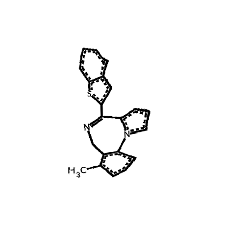 Cc1cccc2c1CN=C(c1cc3ccccc3s1)c1cccn1-2